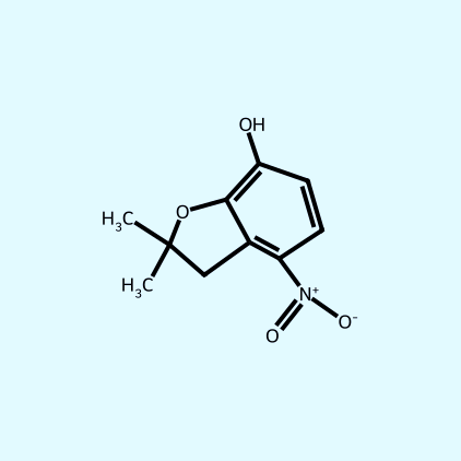 CC1(C)Cc2c([N+](=O)[O-])ccc(O)c2O1